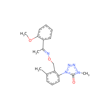 COc1ccccc1C(C)=NOCc1c(C)cccc1-n1nnn(C)c1=O